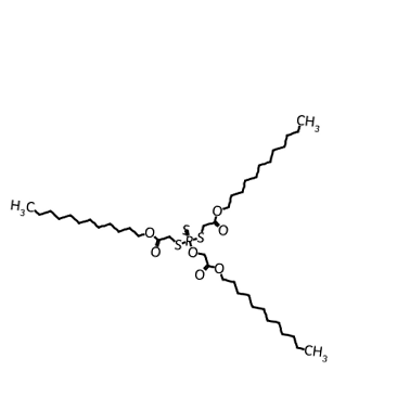 CCCCCCCCCCCCOC(=O)COP(=S)(SCC(=O)OCCCCCCCCCCCC)SCC(=O)OCCCCCCCCCCCC